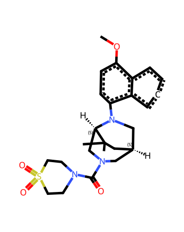 COc1ccc(N2C[C@H]3CN(C(=O)N4CCS(=O)(=O)CC4)C[C@@H]2C(C)(C)C3)c2ccccc12